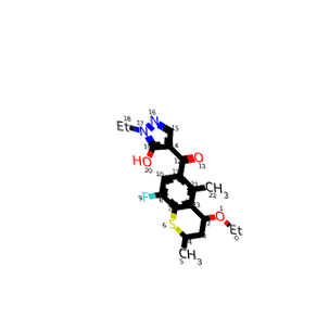 CCOC1CC(C)Sc2c(F)cc(C(=O)c3cnn(CC)c3O)c(C)c21